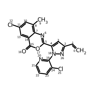 C=Cc1cc(-c2nc3c(C)cc(Cl)cc3c(=O)o2)n(-c2ncccc2Cl)n1